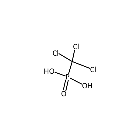 O=P(O)(O)C(Cl)(Cl)Cl